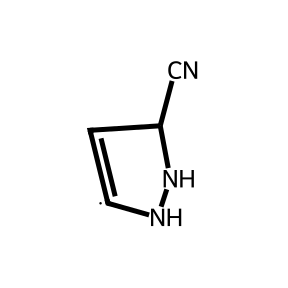 N#CC1C=[C]NN1